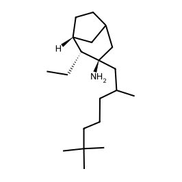 CC[C@@H]1[C@@H]2CCC(C2)C[C@]1(N)CC(C)CCCC(C)(C)C